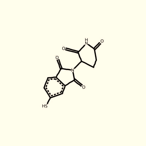 O=C1CCC(N2C(=O)c3ccc(S)cc3C2=O)C(=O)N1